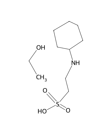 CCO.O=S(=O)(O)CCNC1CCCCC1